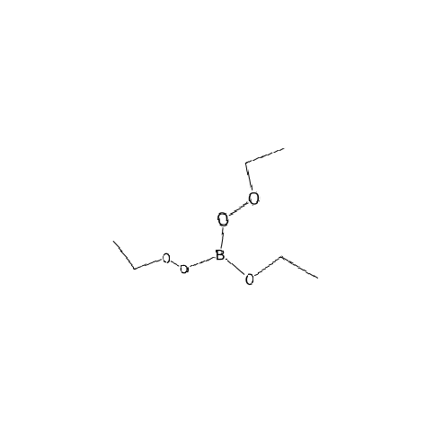 CCOOB(OCC)OOCC